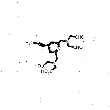 CC#Cc1cc(CN(CC=O)CC=O)nc(CN(CC(=O)O)CC(=O)O)c1